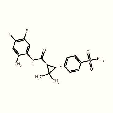 Cc1cc(F)c(F)cc1NC(=O)[C@H]1[C@H](c2ccc(S(N)(=O)=O)cc2)C1(C)C